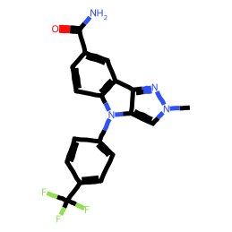 Cn1cc2c(n1)c1cc(C(N)=O)ccc1n2-c1ccc(C(F)(F)F)cc1